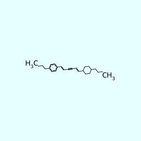 CCCCc1ccc(C=CC#CC=CC2CCC(CCCC)CC2)cc1